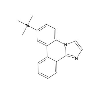 C[Si](C)(C)c1ccc2c(c1)c1ccccc1c1nccn21